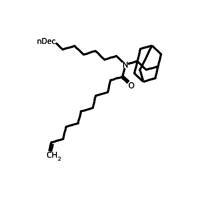 C=CCCCCCCCCC(=O)N(CCCCCCCCCCCCCCCC)C12CC3CC(CC(C3)C1)C2